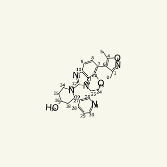 Cc1noc(C)c1-c1ccc2nc(N3CCC(O)CC3)n3c2c1OC[C@@H]3c1ccccn1